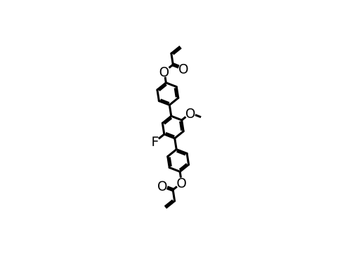 C=CC(=O)Oc1ccc(-c2cc(OC)c(-c3ccc(OC(=O)C=C)cc3)cc2F)cc1